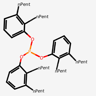 CCCCCc1cccc(OP(Oc2cccc(CCCCC)c2CCCCC)Oc2cccc(CCCCC)c2CCCCC)c1CCCCC